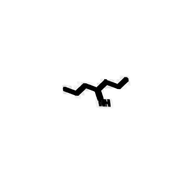 CC[CH]C(=N)CCC